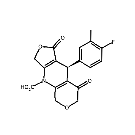 O=C1COCC2=C1[C@H](c1ccc(F)c(I)c1)C1=C(COC1=O)N2C(=O)O